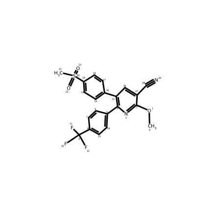 COc1nc(-c2ccc(C(F)(F)F)cc2)c(-c2ccc(S(C)(=O)=O)cc2)cc1C#N